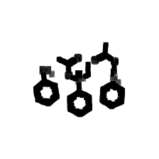 CC(=O)O[PH3]c1ccccc1.CC[PH2](OC(C)=O)c1ccccc1.Pc1ccccc1